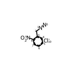 N#[N+]Cc1ccccc1[N+](=O)[O-].[Cl-]